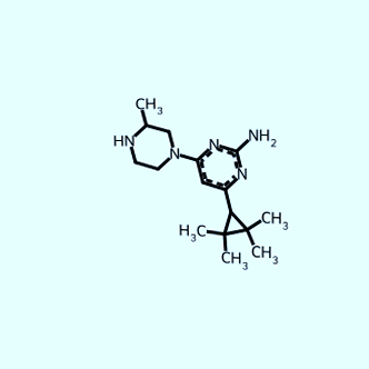 CC1CN(c2cc(C3C(C)(C)C3(C)C)nc(N)n2)CCN1